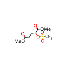 COC(=O)CC[C@@H](OS(=O)(=O)C(F)(F)F)C(=O)OC